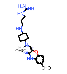 CN(/C=C1/Oc2ccc(C=O)cc2N/C1=N/C=O)C1CCC(NCCCNC(=N)N)CC1